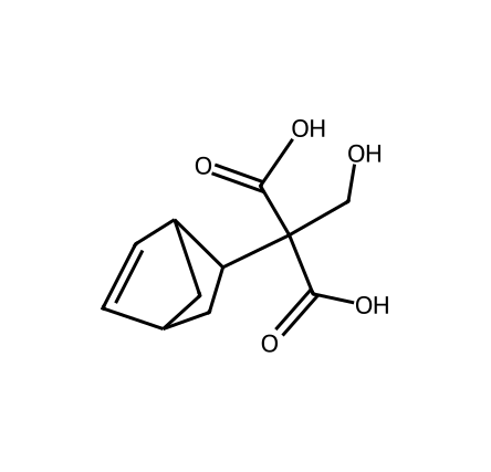 O=C(O)C(CO)(C(=O)O)C1CC2C=CC1C2